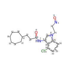 O=NCCn1cc(NC(=O)CCC2CCCCCC2)c2c(Cl)cccc21